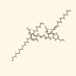 CCCCCCCCCCCCC(OCC)=C(OCC)C(CCCCCC)OCOCOC(CCCCCC)C(OCC)=C(CCCCCCCCCCCC)OCC